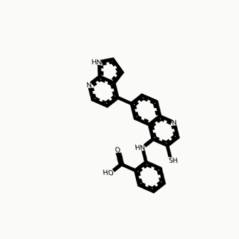 O=C(O)c1ccccc1Nc1c(S)cnc2ccc(-c3ccnc4[nH]ccc34)cc12